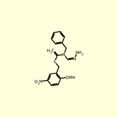 C=C(SCc1cc([N+](=O)[O-])ccc1OC)N(/C=N\N)Cc1ccccc1